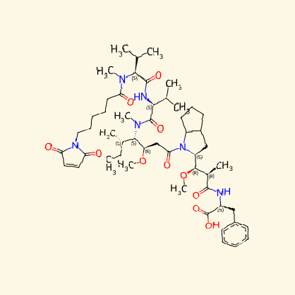 CC[C@H](C)[C@@H]([C@@H](CC(=O)N1C2CCCC2C[C@H]1[C@H](OC)[C@@H](C)C(=O)N[C@@H](Cc1ccccc1)C(=O)O)OC)N(C)C(=O)[C@@H](NC(=O)[C@H](C(C)C)N(C)C(=O)CCCCCN1C(=O)C=CC1=O)C(C)C